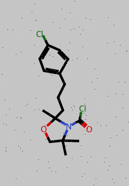 CC1(C)COC(C)(CCCc2ccc(Cl)cc2)N1C(=O)Cl